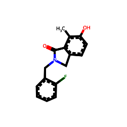 Cc1c(O)ccc2c1C(=O)N(Cc1ccccc1F)C2